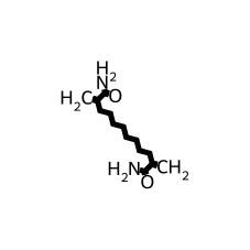 C=C(CCCCCCCCC(=C)C(N)=O)C(N)=O